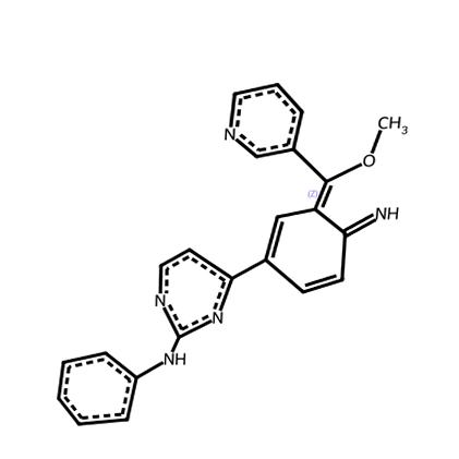 CO/C(=C1/C=C(c2ccnc(Nc3ccccc3)n2)C=CC1=N)c1cccnc1